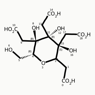 O=C(O)C[C]1O[C@H](CO)[C@](O)(CC(=O)O)[C@@](O)(CC(=O)O)[C@]1(O)CC(=O)O